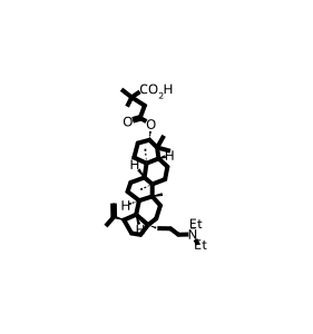 C=C(C)[C@@H]1CC[C@]2(CCCN(CC)CC)CC[C@]3(C)[C@H](CC[C@@H]4[C@@]5(C)CC[C@H](OC(=O)CC(C)(C)C(=O)O)C(C)(C)[C@@H]5CC[C@]43C)[C@@H]12